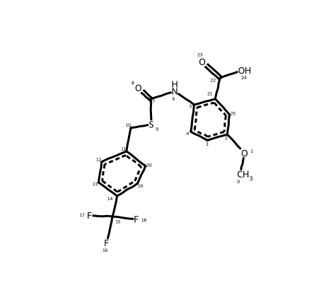 COc1ccc(NC(=O)SCc2ccc(C(F)(F)F)cc2)c(C(=O)O)c1